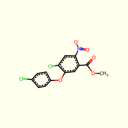 COC(=O)c1cc(Oc2ccc(Cl)cc2)c(Cl)cc1[N+](=O)[O-]